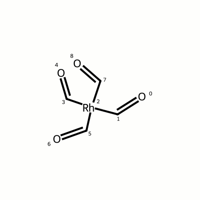 O=[CH][Rh]([CH]=O)([CH]=O)[CH]=O